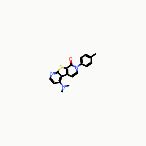 Cc1ccc(-n2ccc3c(sc4nccc(N(C)C)c43)c2=O)cc1